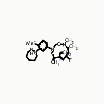 C=C/C1=C\C(F)=C/C(C)N(C)CCN(c2ccc(SC)c(N3CCCCCN3)c2)CC1=C